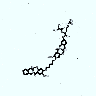 COc1cc2c(cc1OCCCCCOc1cc3c(cc1OC)C(=O)N1Cc4cc(NC(O)[C@H](CCCNC(N)=O)NC(=O)[C@@H](N)C(C)C)ccc4C[C@@H]1C=N3)N=C[C@@H]1Cc3ccccc3CN1C2=O